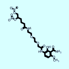 COc1ccc(NC(=O)COCCOCCNC(=O)CCCC(CO[N+](=O)[O-])O[N+](=O)[O-])c(O)c1C(N)=O